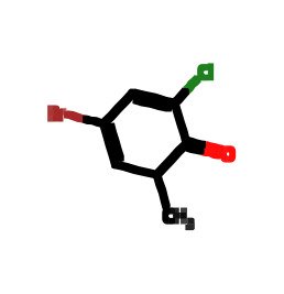 CC1C=C(Br)C=C(Cl)C1=O